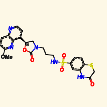 COc1ccc2nccc([C@H]3CN(CCCNS(=O)(=O)c4ccc5c(c4)NC(=O)CS5)C(=O)O3)c2n1